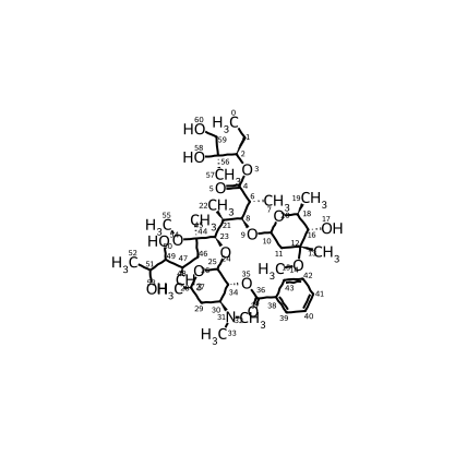 CC[C@@H](OC(=O)[C@H](C)[C@@H](OC1C[C@@](C)(OC)[C@@H](O)[C@H](C)O1)[C@H](C)[C@@H](OC1O[C@H](C)C[C@H](N(C)C)[C@H]1OC(=O)c1ccccc1)[C@@](C)(C[C@@H](C)C(O)C(C)O)OC)[C@@](C)(O)CO